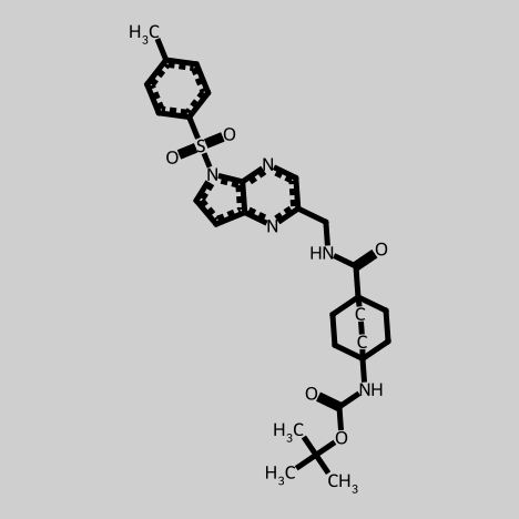 Cc1ccc(S(=O)(=O)n2ccc3nc(CNC(=O)C45CCC(NC(=O)OC(C)(C)C)(CC4)CC5)cnc32)cc1